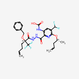 C=CCC[C@@](OCc1ccccc1)(C(=O)NNC(=O)c1nc(O[C@H](C)CC=C)c(C(F)F)cc1NC(=O)O)C(F)(F)F